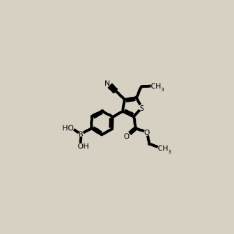 CCOC(=O)c1sc(CC)c(C#N)c1-c1ccc(B(O)O)cc1